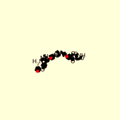 Nc1ncnn2c(C3CCC(N4CCN(CC5CN(c6ccc7c(c6)C(=O)N(C6CCC(=O)NC6=O)C7=O)C5)CC4)CC3)cc(-c3ccc(Oc4ccccc4)cc3)c12